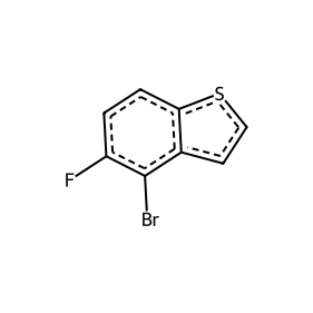 Fc1ccc2sccc2c1Br